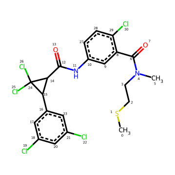 CSCCN(C)C(=O)c1cc(NC(=O)C2C(c3cc(Cl)cc(Cl)c3)C2(Cl)Cl)ccc1Cl